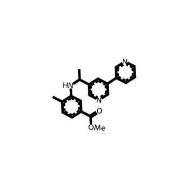 COC(=O)c1ccc(C)c(NC(C)c2cncc(-c3cccnc3)c2)c1